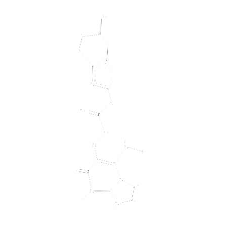 CN1C(=O)C(NCC(=O)Nc2nc3c(s2)CC(C(C)(C)C)CC3)=C(NI)N2CCN=C12